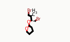 C[C@H](CBr)[C@H](CBr)OC1CCCCO1